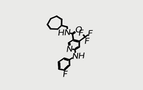 O=C(NCC1CCCCCC1)c1cnc(Nc2cccc(F)c2)cc1C(F)(F)F